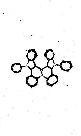 c1ccc(N2c3ccccc3C3C2c2ccccc2B2c4ccccc4C4C(c5ccccc5N4c4ccccc4)N23)cc1